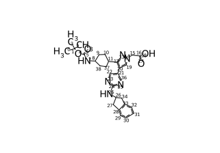 CC(C)(C)OC(=O)NC1CCC(c2nn(CC(=O)O)cc2-c2cnc(NC3Cc4ccccc4C3)nc2)CC1